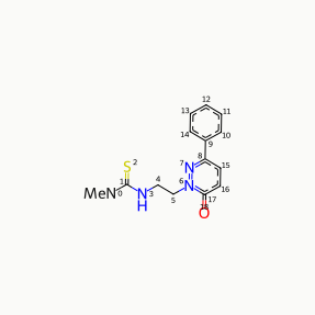 CNC(=S)NCCn1nc(-c2ccccc2)ccc1=O